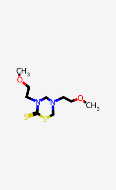 COCCN1CSC(=S)N(CCOC)C1